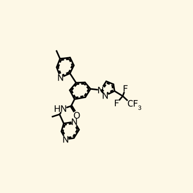 Cc1ccc(-c2cc(C(=O)NC(C)c3cnccn3)cc(-n3ccc(C(F)(F)C(F)(F)F)n3)c2)nc1